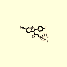 CN(C)/C=C/C(=O)c1c(-c2ccc(F)cc2)nn2cc(C#N)ccc12